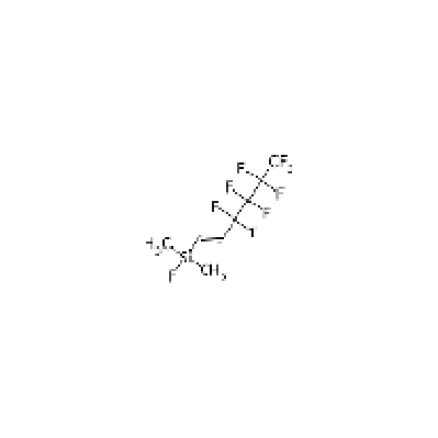 C[Si](C)(F)/C=C/C(F)(F)C(F)(F)C(F)(F)C(F)(F)F